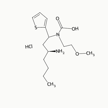 CCCC[C@H](N)CC(c1cccs1)N(CCOC)C(=O)O.Cl